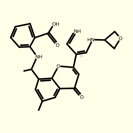 Cc1cc(C(C)Nc2ccccc2C(=O)O)c2oc(/C(C=N)=C/NC3COC3)cc(=O)c2c1